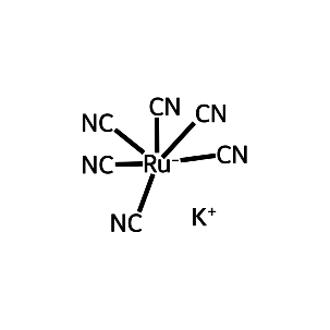 N#[C][Ru-]([C]#N)([C]#N)([C]#N)([C]#N)[C]#N.[K+]